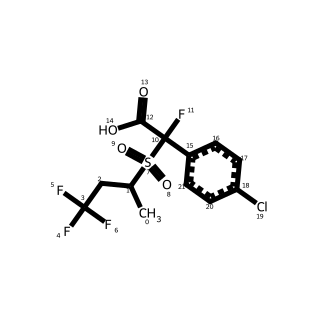 CC(CC(F)(F)F)S(=O)(=O)C(F)(C(=O)O)c1ccc(Cl)cc1